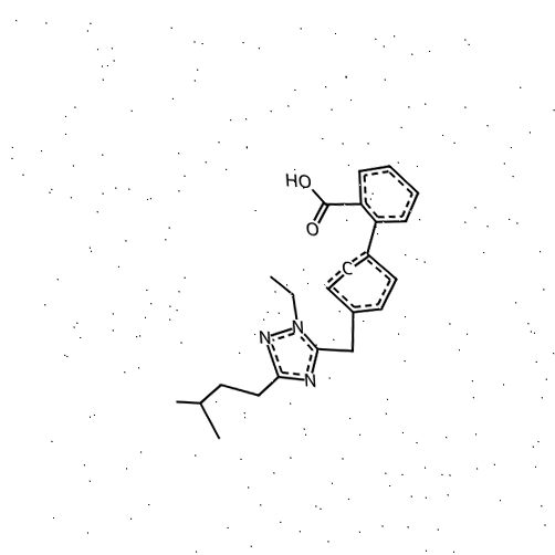 CCn1nc(CCC(C)C)nc1Cc1ccc(-c2ccccc2C(=O)O)cc1